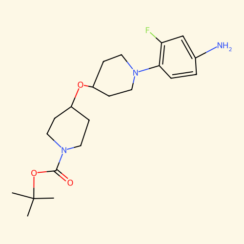 CC(C)(C)OC(=O)N1CCC(OC2CCN(c3ccc(N)cc3F)CC2)CC1